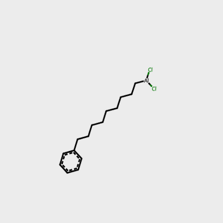 [Cl][Al]([Cl])[CH2]CCCCCCCCc1ccccc1